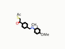 COc1ccc(N(C)Cc2ccc(C(=O)CSC(C)=O)cc2)cc1